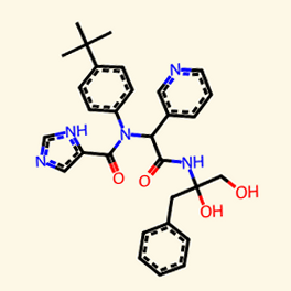 CC(C)(C)c1ccc(N(C(=O)c2cnc[nH]2)C(C(=O)NC(O)(CO)Cc2ccccc2)c2cccnc2)cc1